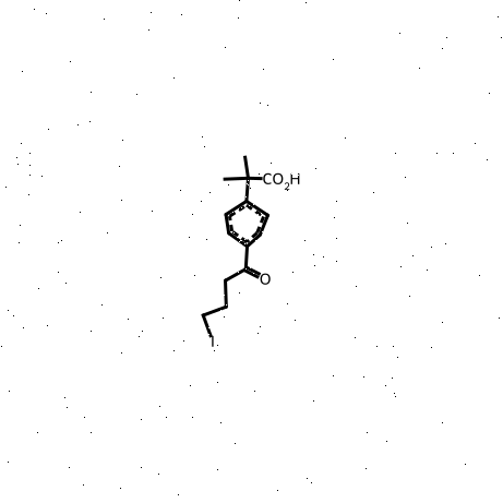 CC(C)(C(=O)O)c1ccc(C(=O)CCCI)cc1